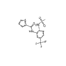 CS(=O)(=O)Nc1ncc(C(F)(F)F)cc1NC(=O)c1cccs1